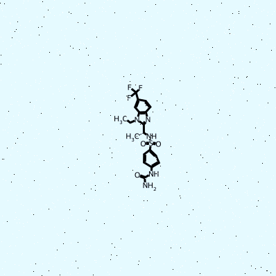 CCn1c([C@@H](C)NS(=O)(=O)c2ccc(NC(N)=O)cc2)nc2ccc(C(F)(F)F)cc21